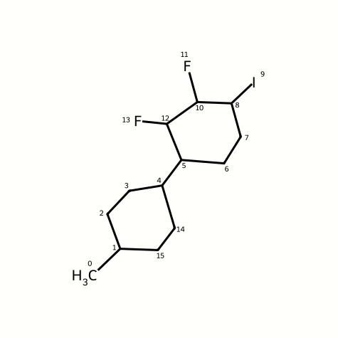 CC1CCC(C2CCC(I)C(F)C2F)CC1